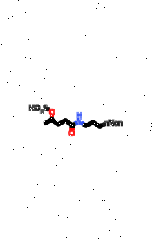 CCCCCCCCCCCCNC(=O)CCC(C)OS(=O)(=O)O